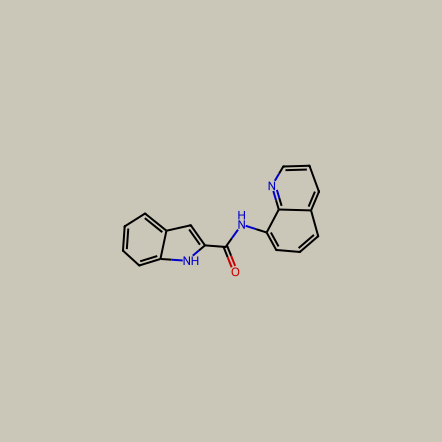 O=C(Nc1cccc2cccnc12)c1cc2ccccc2[nH]1